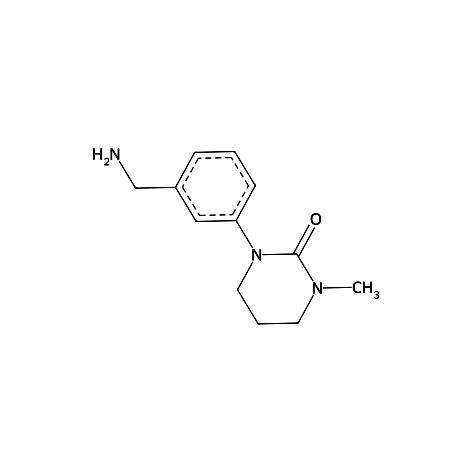 CN1CCCN(c2cccc(CN)c2)C1=O